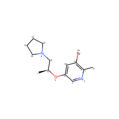 Cc1ncc(O[C@@H](C)CN2CCCC2)cc1Br